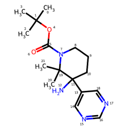 CC(C)(C)OC(=O)N1CCCC(N)(c2cncnc2)C1(C)C